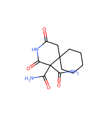 NC(=O)C1(C(N)=O)C(=O)NC(=O)CC12CCCCC2